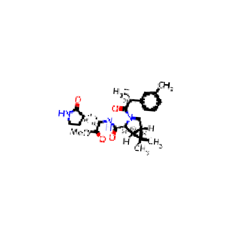 COC(=O)[C@H](C[C@@H]1CCNC1=O)NC(=O)[C@@H]1[C@@H]2[C@H](CN1C(=O)[C@H](C)c1cccc(C)c1)C2(C)C